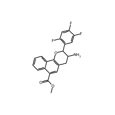 COC(=O)c1cc2c(c3ccccc13)OC(c1cc(F)c(F)cc1F)C(N)C2